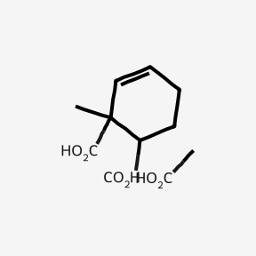 CC(=O)O.CC1(C(=O)O)C=CCCC1C(=O)O